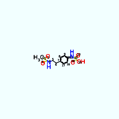 CS(=O)(=O)NCCc1ccc(NS(=O)(=O)O)cc1